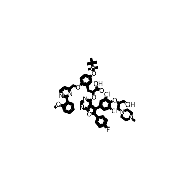 COc1ccccc1-c1nccc(COc2ccc(O[Si](C)(C)C(C)(C)C)cc2CC(Oc2ncnc3oc(-c4ccc(F)cc4)c(-c4cc(Cl)c(OC(CO)CN5CCN(C)CC5)c(Cl)c4)c23)C(=O)O)n1